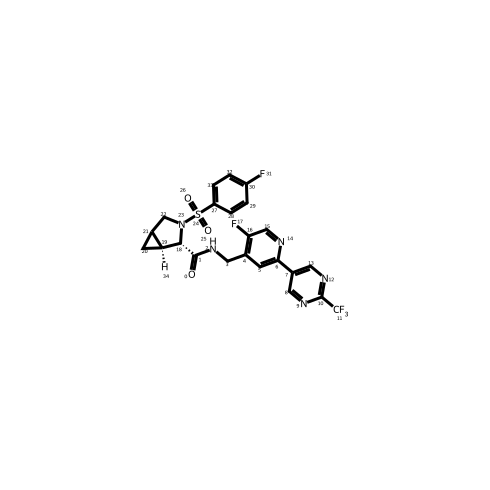 O=C(NCc1cc(-c2cnc(C(F)(F)F)nc2)ncc1F)[C@@H]1[C@H]2CC2CN1S(=O)(=O)c1ccc(F)cc1